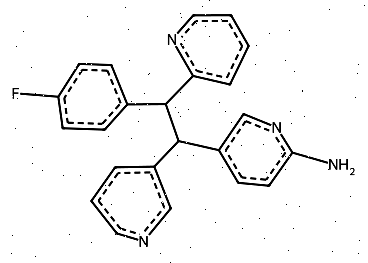 Nc1ccc(C(c2cccnc2)C(c2ccc(F)cc2)c2ccccn2)cn1